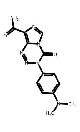 CN(C)c1ccc(-n2nnc3c(C(N)=O)ncn3c2=O)cc1